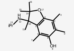 Cc1c(C)c2c(c(C)c1O)C(C)(NC(C)C)C(C)(C)O2